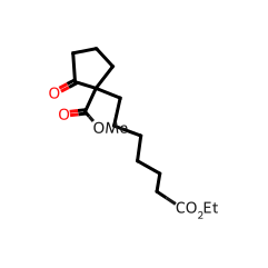 CCOC(=O)CCCCCCC1(C(=O)OC)CCCC1=O